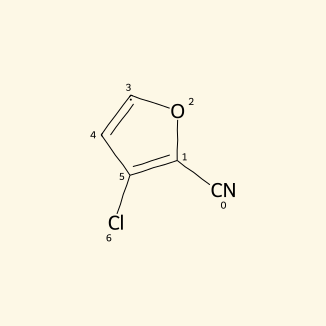 N#Cc1o[c]cc1Cl